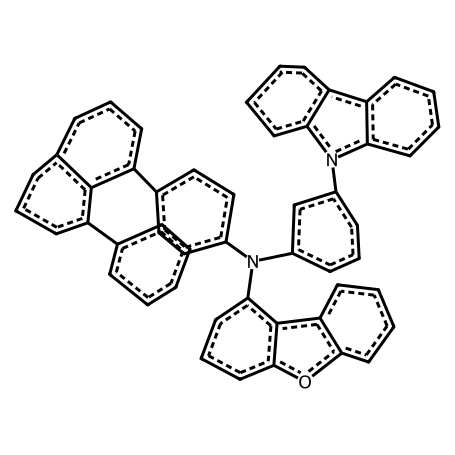 c1ccc(-c2cccc3cccc(-c4ccc(N(c5cccc(-n6c7ccccc7c7ccccc76)c5)c5cccc6oc7ccccc7c56)cc4)c23)cc1